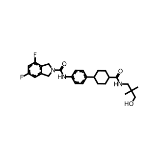 CC(C)(CO)CNC(=O)C1CCC(c2ccc(NC(=O)N3Cc4cc(F)cc(F)c4C3)cc2)CC1